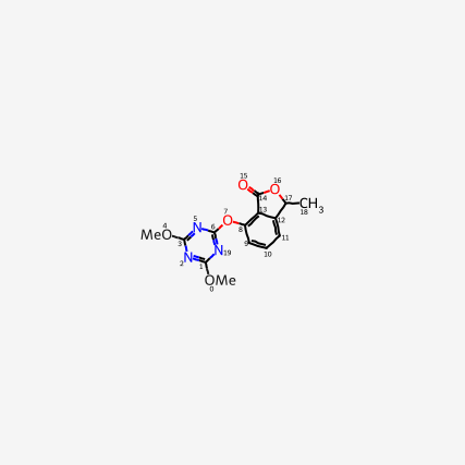 COc1nc(OC)nc(Oc2cccc3c2C(=O)OC3C)n1